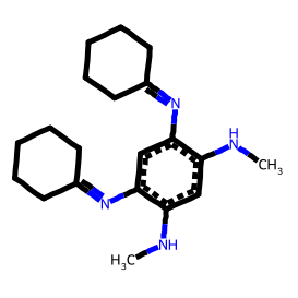 CNc1cc(NC)c(N=C2CCCCC2)cc1N=C1CCCCC1